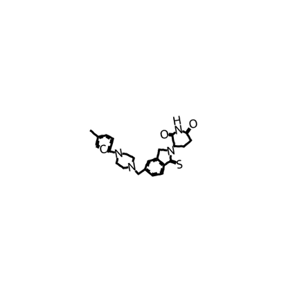 Cc1ccc(N2CCN(Cc3ccc4c(c3)CN(C3CCC(=O)NC3=O)C4=S)CC2)cc1